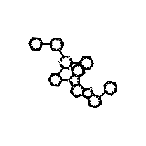 c1ccc(-c2cccc(-c3nc(-c4ccccc4)nc(-c4ccccc4-n4c5ccccc5c5c6oc7c(-c8ccccc8)cccc7c6ccc54)n3)c2)cc1